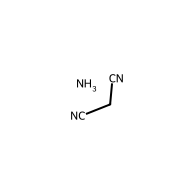 N.N#CCC#N